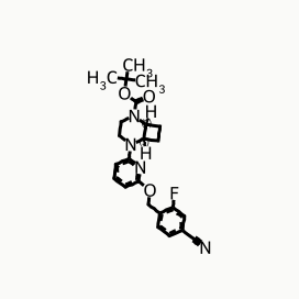 CC(C)(C)OC(=O)N1CCN(c2cccc(OCc3ccc(C#N)cc3F)n2)[C@H]2CC[C@H]21